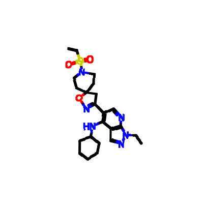 CCn1ncc2c(NC3CCCCC3)c(C3=NOC4(CCN(S(=O)(=O)CC)CC4)C3)cnc21